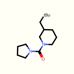 CC(C)(C)CC1CCCN(C(=O)N2CCCC2)C1